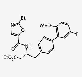 CCOC(=O)C[C@@H](Cc1ccc(-c2cc(F)ccc2OC)cc1)NC(=O)c1cnc(CC)o1